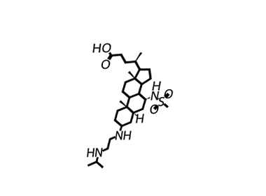 CC(C)NCCNC1CC[C@]2(C)C3CC[C@@]4(C)C(CCC4[C@H](C)CCC(=O)O)C3[C@H](NS(C)(=O)=O)C[C@H]2C1